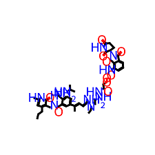 CCCc1cc(C)[nH]c(=O)c1CNC(=O)c1cc(/C(C)=C/C=C(\N)N(CC)CCNNC(=O)COOONc2cccc3c2C(=O)N(C2CCC(=O)NC2=O)C3=O)cc(NC(C)C)c1CN